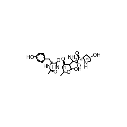 CC(=O)N[C@@H](Cc1ccc(O)cc1)C(=O)N[C@H](C(=O)C(C(=O)O)C(N)C(=O)C(=O)[C@@H]1C[C@@H](O)CN1)C(C)C